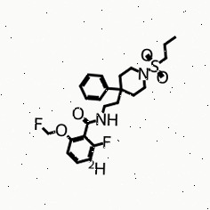 [2H]c1ccc(OCF)c(C(=O)NCCC2(c3ccccc3)CCN(S(=O)(=O)CCC)CC2)c1F